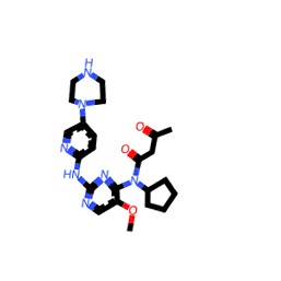 COc1cnc(Nc2ccc(N3CCNCC3)cn2)nc1N(C(=O)CC(C)=O)C1CCCC1